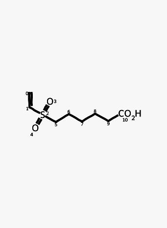 C=CS(=O)(=O)CCCCCC(=O)O